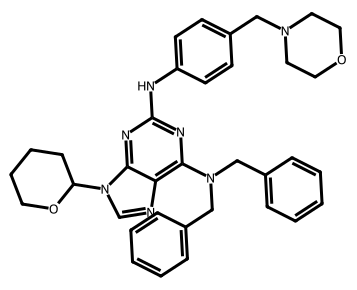 c1ccc(CN(Cc2ccccc2)c2nc(Nc3ccc(CN4CCOCC4)cc3)nc3c2ncn3C2CCCCO2)cc1